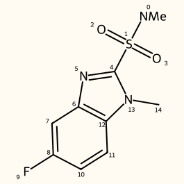 CNS(=O)(=O)c1nc2cc(F)ccc2n1C